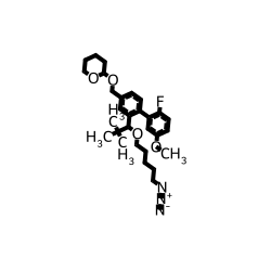 COc1ccc(F)c(-c2ccc(COC3CCCCO3)cc2C(OCCCCCN=[N+]=[N-])C(C)(C)C)c1